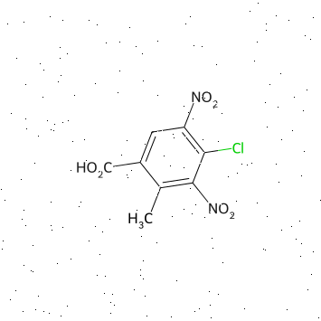 Cc1c(C(=O)O)cc([N+](=O)[O-])c(Cl)c1[N+](=O)[O-]